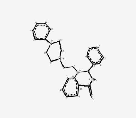 O=C1NC(c2ccncc2)N(CCN2CCN(c3ccccc3)CC2)c2ccccc21